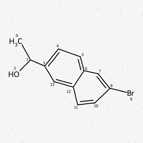 CC(O)c1ccc2cc(Br)ccc2c1